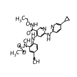 C#Cc1ccc(Nc2cc(Nc3ccc(C4CC4)cn3)ncc2C(=O)NOCC)c(N(C)S(C)(=O)=O)c1